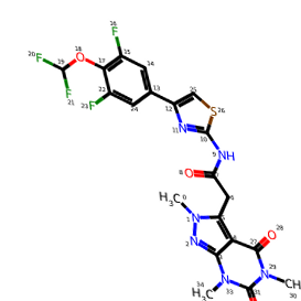 Cn1nc2c(c1CC(=O)Nc1nc(-c3cc(F)c(OC(F)F)c(F)c3)cs1)c(=O)n(C)c(=O)n2C